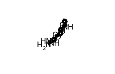 C[C@H](NC(=O)c1ccc2cc(OC(=O)c3ccc(NC(=N)N)cc3)ccc2n1)c1ccccc1